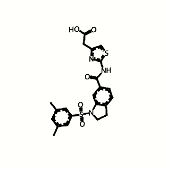 Cc1cc(C)cc(S(=O)(=O)N2CCc3ccc(C(=O)Nc4nc(CC(=O)O)cs4)cc32)c1